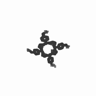 Nc1ccc(-c2c3nc(c(-c4ccc(CBr)cc4)c4ccc([nH]4)c(-c4ccc(CBr)cc4)c4nc(c(-c5ccc(CBr)cc5)c5ccc2[nH]5)C=C4)C=C3)cc1